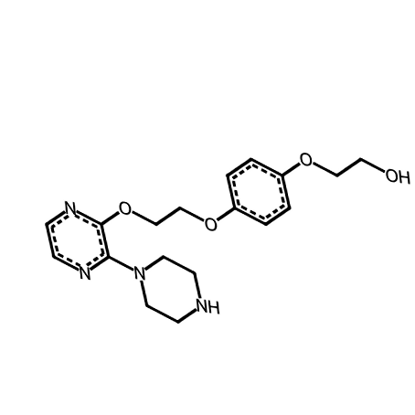 OCCOc1ccc(OCCOc2nccnc2N2CCNCC2)cc1